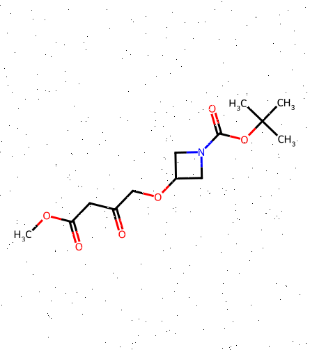 COC(=O)CC(=O)COC1CN(C(=O)OC(C)(C)C)C1